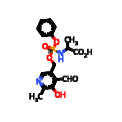 Cc1ncc(CO[P@@](=O)(NC(C)C(=O)O)Oc2ccccc2)c(C=O)c1O